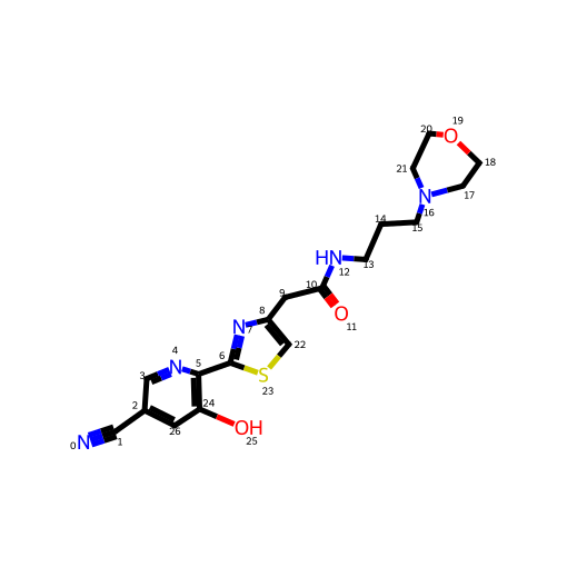 N#Cc1cnc(-c2nc(CC(=O)NCCCN3CCOCC3)cs2)c(O)c1